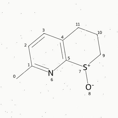 Cc1ccc2c(n1)[S+]([O-])CCC2